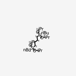 CCCC[Si](CCCC[Si](CCCC)(OC(C)C)OC(C)C)(OC(C)C)OC(C)C